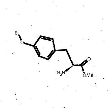 CCOc1ccc(C[C@H](N)C(=O)OC)cc1